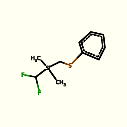 C[Si](C)(CSc1ccccc1)C(F)F